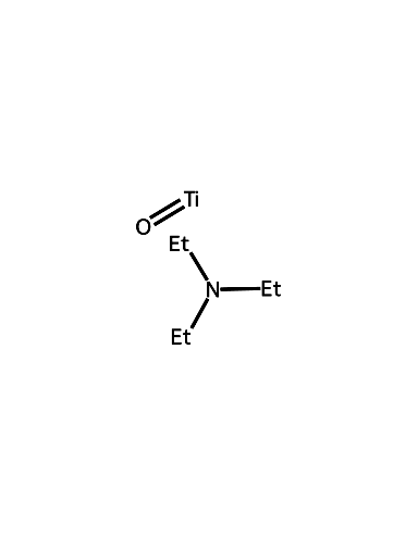 CCN(CC)CC.[O]=[Ti]